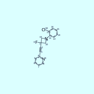 FC1(C#Cc2ccccn2)CN(c2ccccc2Cl)C1